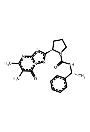 Cc1nc2sc([C@H]3CCCN3C(=O)N[C@H](C)c3ccccc3)nn2c(=O)c1C